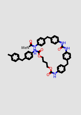 CNC(=O)Nc1ccc(Cc2ccc(NC(=O)Nc3ccc(Cc4ccc(NC(=O)OCCCCOC(=O)Nc5ccc(Cc6ccc(C)cc6)cc5)cc4)cc3)cc2)cc1